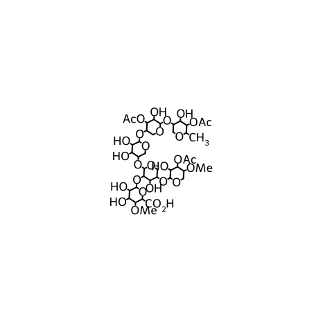 COC1COC(OC2COC(OC3COC(OC4COC(OC5COC(C)C(OC(C)=O)C5O)C(O)C4OC(C)=O)C(O)C3O)C(OC3OC(C(=O)O)C(OC)C(O)C3O)C2O)C(O)C1OC(C)=O